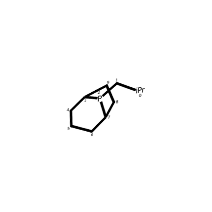 CC(C)CP1C2CCCC1CC2